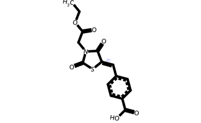 CCOC(=O)CN1C(=O)S/C(=C\c2ccc(C(=O)O)cc2)C1=O